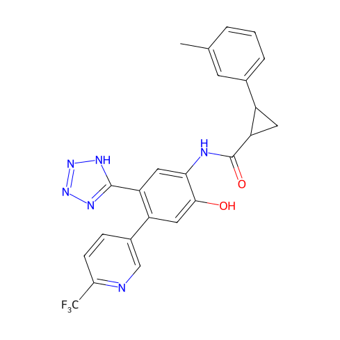 Cc1cccc(C2CC2C(=O)Nc2cc(-c3nnn[nH]3)c(-c3ccc(C(F)(F)F)nc3)cc2O)c1